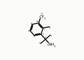 Cc1c(C(C)(C)N)cccc1C(F)(F)F